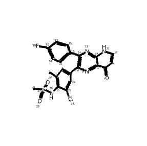 Cc1cc(-c2nc3c(=O)cc[nH]c3nc2-c2ccc(F)cc2)cc(Cl)c1NS(C)(=O)=O